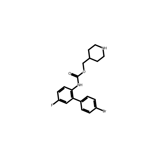 O=C(Nc1ccc(F)cc1-c1ccc(Br)cc1)OCC1CCNCC1